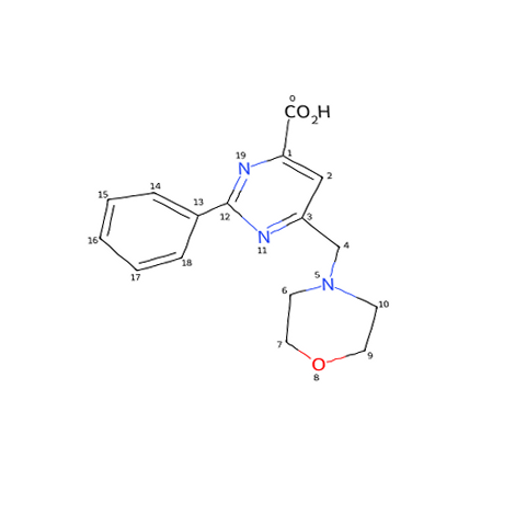 O=C(O)c1cc(CN2CCOCC2)nc(-c2ccccc2)n1